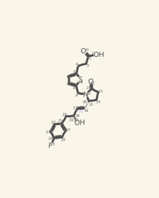 O=C(O)CCc1ccc(CN2C(=O)CC[C@@H]2/C=C/[C@@H](O)Cc2ccc(F)cc2)s1